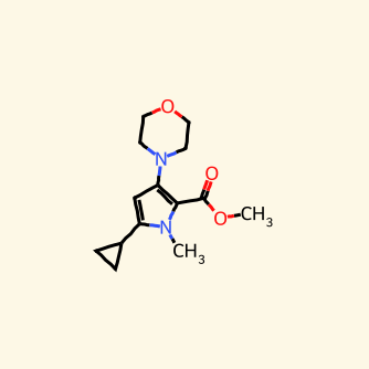 COC(=O)c1c(N2CCOCC2)cc(C2CC2)n1C